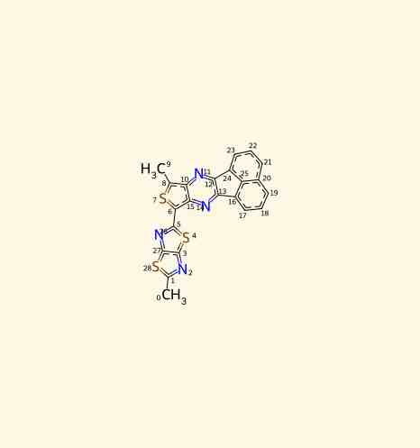 Cc1nc2sc(-c3sc(C)c4nc5c(nc34)-c3cccc4cccc-5c34)nc2s1